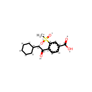 CS(=O)(=O)c1cc(C(=O)O)ccc1C(=O)CC1CCCCC1